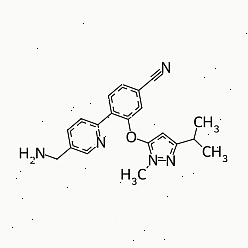 CC(C)c1cc(Oc2cc(C#N)ccc2-c2ccc(CN)cn2)n(C)n1